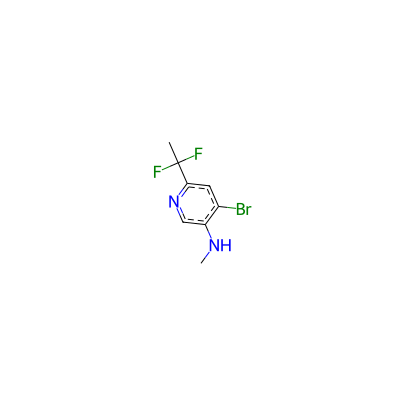 CNc1cnc(C(C)(F)F)cc1Br